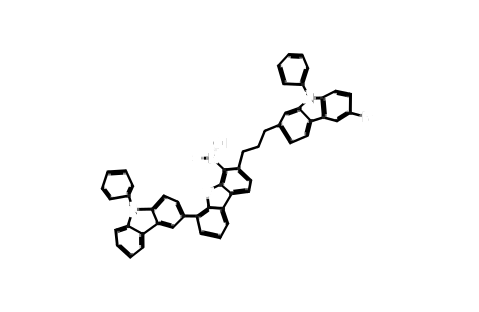 OB(O)c1c(CCCc2ccc3c4cc(Br)ccc4n(-c4ccccc4)c3c2)ccc2c1oc1c(-c3ccc4c(c3)c3ccccc3n4-c3ccccc3)cccc12